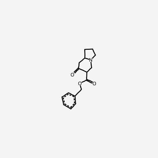 O=C1CC2CCCN2CC1C(=O)OCc1ccccc1